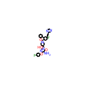 Nc1c(Oc2ccc(F)cc2)ncn(CC2(O)CCN(C(=O)[C@@H]3CC[C@@](F)(C#Cc4cnccn4)CC3c3ccccc3)CC2)c1=O